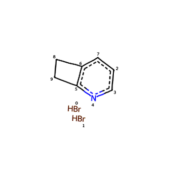 Br.Br.c1cnc2c(c1)CC2